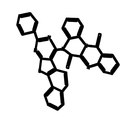 O=c1c2nc3ccccc3c(=O)n2c2ccccc2n1-c1nc(-c2ccccc2)nc2sc3c4ccccc4ccc3c12